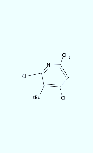 Cc1cc(Cl)c(C(C)(C)C)c(Cl)n1